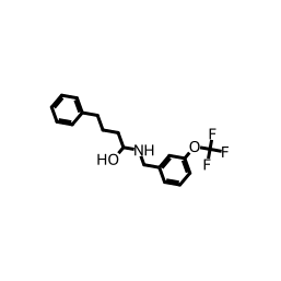 OC(CCCc1ccccc1)NCc1cccc(OC(F)(F)F)c1